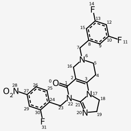 O=C1C2=C(CCN(Cc3cc(F)cc(F)c3)C2)N2CCN=C2N1Cc1ccc([N+](=O)[O-])cc1F